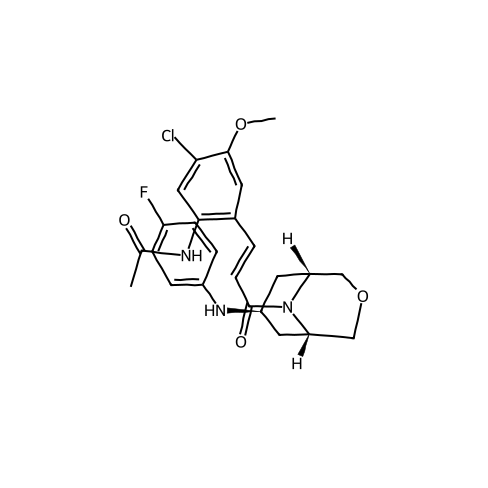 COc1cc(/C=C/C(=O)N2[C@@H]3COC[C@H]2C[C@H](Nc2ccc(F)cc2)C3)c(NC(C)=O)cc1Cl